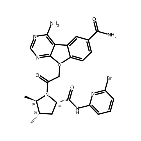 C[C@@H]1[C@@H](C)C[C@@H](C(=O)Nc2cccc(Br)n2)N1C(=O)Cn1c2ccc(C(N)=O)cc2c2c(N)ncnc21